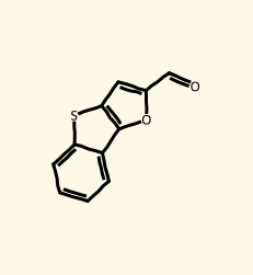 O=Cc1cc2sc3ccccc3c2o1